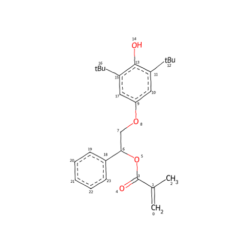 C=C(C)C(=O)OC(COc1cc(C(C)(C)C)c(O)c(C(C)(C)C)c1)c1ccccc1